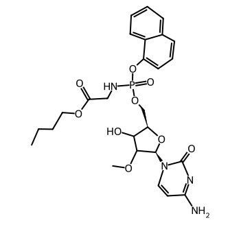 CCCCOC(=O)CNP(=O)(OC[C@H]1O[C@@H](n2ccc(N)nc2=O)C(OC)C1O)Oc1cccc2ccccc12